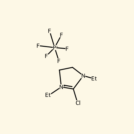 CCN1CC[N+](CC)=C1Cl.F[P-](F)(F)(F)(F)F